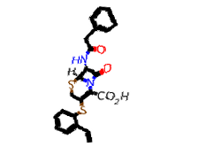 C=Cc1ccccc1SC1=C(C(=O)O)N2C(=O)[C@@H](NC(=O)Cc3ccccc3)[C@@H]2SC1